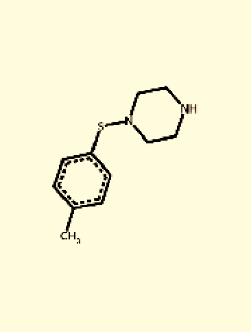 Cc1ccc(SN2CCNCC2)cc1